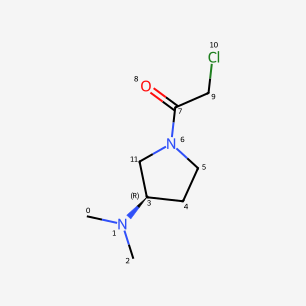 CN(C)[C@@H]1CCN(C(=O)CCl)C1